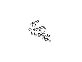 COc1cc(C(=O)Nc2cc(C(F)(F)F)n(C)n2)ccc1-c1nc([C@@H]2CC[C@H]3CCC(=O)N3C2)n2c(Cl)cnc(N)c12